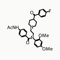 COc1ccc(N(CCN2CCC(C(=O)c3ccc(F)cc3)CC2)C(=O)c2ccc(NC(C)=O)cc2)c(OC)c1